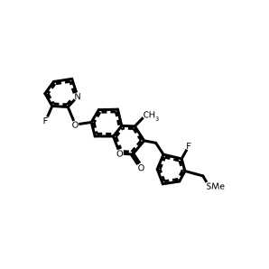 CSCc1cccc(Cc2c(C)c3ccc(Oc4ncccc4F)cc3oc2=O)c1F